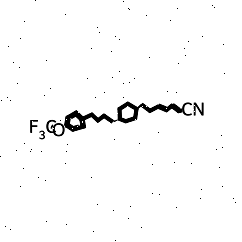 N#CC=CC=CCC[C@H]1CC[C@H](CCCCc2ccc(OC(F)(F)F)cc2)CC1